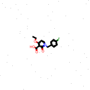 CCOc1ccn(Cc2ccc(F)cc2)c(=O)c1C(=O)O